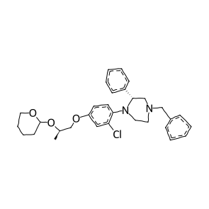 C[C@H](COc1ccc(N2CCN(Cc3ccccc3)C[C@H]2c2ccccc2)c(Cl)c1)OC1CCCCO1